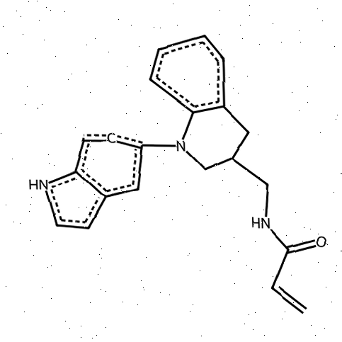 C=CC(=O)NCC1Cc2ccccc2N(c2ccc3[nH]ccc3c2)C1